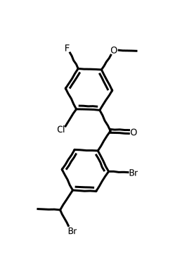 COc1cc(C(=O)c2ccc(C(C)Br)cc2Br)c(Cl)cc1F